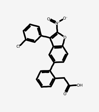 O=C(O)Cc1ccccc1-c1ccc2oc([N+](=O)[O-])c(-c3cccc(Cl)c3)c2c1